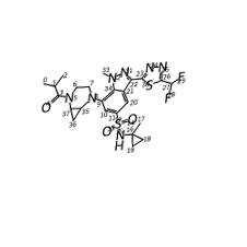 CC(C)C(=O)N1CCN(c2cc(S(=O)(=O)NC3(C)CC3)cc3c(-c4nnc(C(F)F)s4)nn(C)c23)C2CC21